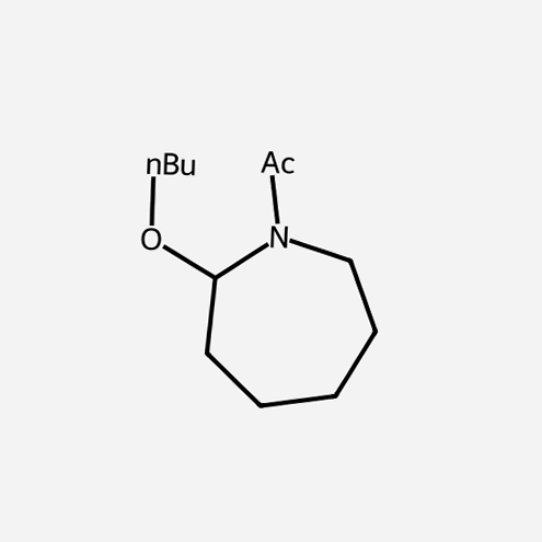 CCCCOC1CCCCCN1C(C)=O